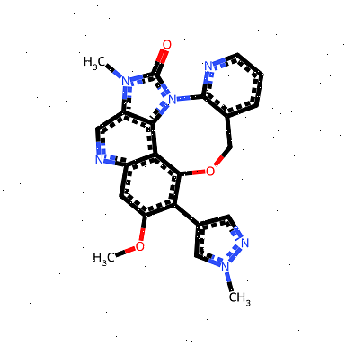 COc1cc2ncc3c4c2c(c1-c1cnn(C)c1)OCc1cccnc1-n4c(=O)n3C